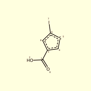 O=C(O)c1csc(I)c1